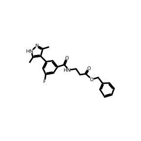 Cc1n[nH]c(C)c1-c1cc(F)cc(C(=O)NCCC(=O)OCc2ccccc2)c1